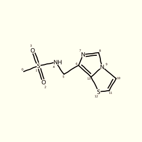 CS(=O)(=O)NCc1ncn2ccsc12